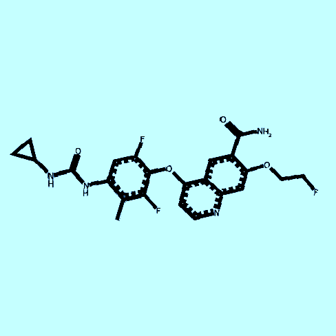 Cc1c(NC(=O)NC2CC2)cc(F)c(Oc2ccnc3cc(OCCF)c(C(N)=O)cc23)c1F